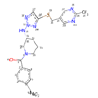 O=C(c1ccc([N+](=O)[O-])cc1)N1CCC[C@@H](Nn2ncc(SCc3cnc(C(F)(F)F)nc3)n2)C1